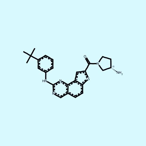 CC(C)(C)c1cccc(Nc2ncc3ccc4sc(C(=O)N5CC[C@H](N)C5)cc4c3n2)c1